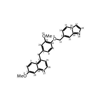 COc1ccc2c(Cc3ccc(OCc4ccn5ccnc5c4)c(OC)c3)ccnc2c1